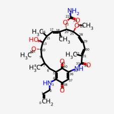 C=CCNC1=C2CC(C)C[C@H](OC)C(O)C(C)/C=C(\C)[C@H](OC(N)=O)[C@@H](OC)/C=C\C=C(/C)C(=O)NC(=CC1=O)C2=O